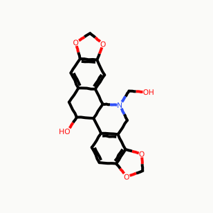 OCN1Cc2c(ccc3c2OCO3)C2C(O)Cc3cc4c(cc3C21)OCO4